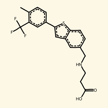 Cc1ccc(-c2cc3cc(CNCCC(=O)O)ccc3s2)cc1C(F)(F)F